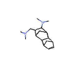 CN(C)CC1C2CC(C3C4C=CC(C4)C23)C1N(C)C